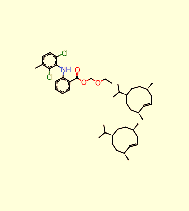 CC(C)[C@H]1CC[C@@H](C)C/C=C/[C@@H](C)CC1.CC(C)[C@H]1CC[C@@H](C)C/C=C/[C@@H](C)CC1.CCOCOC(=O)c1ccccc1Nc1c(Cl)ccc(C)c1Cl